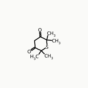 CC1(C)SC(C)(C)C(=O)CC1=O